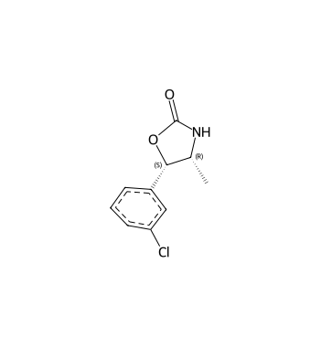 C[C@H]1NC(=O)O[C@H]1c1cccc(Cl)c1